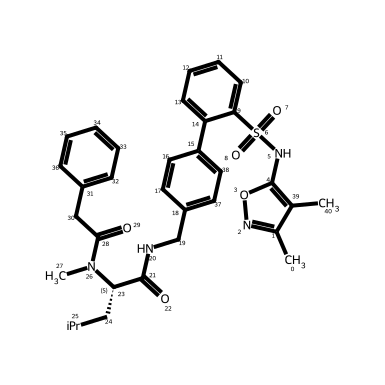 Cc1noc(NS(=O)(=O)c2ccccc2-c2ccc(CNC(=O)[C@H](CC(C)C)N(C)C(=O)Cc3ccccc3)cc2)c1C